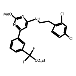 CCOC(=O)C(F)(F)c1cccc(-c2cc(NCCc3ccc(Cl)cc3Cl)nc(OC)n2)c1